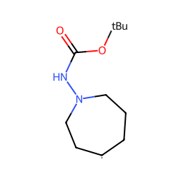 CC(C)(C)OC(=O)NN1CC[CH]CCC1